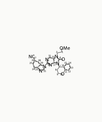 COCCn1c(=O)n([C@@H]2CCOc3ccccc32)c2nc(-n3cnc4ccc(C#N)cc43)ncc21